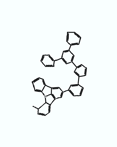 CC1C=CC=C2c3cc(-c4cccc(-c5cccc(-c6cc(-c7ccccc7)cc(-c7ccccc7)c6)c5)c4)cc4c5ccccc5n(c34)C21